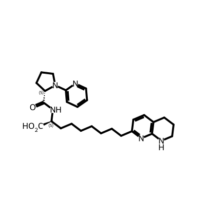 O=C(O)[C@H](CCCCCCCc1ccc2c(n1)NCCC2)NC(=O)[C@@H]1CCCN1c1ccccn1